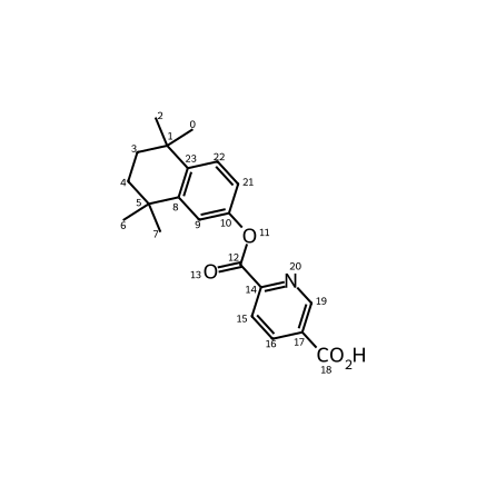 CC1(C)CCC(C)(C)c2cc(OC(=O)c3ccc(C(=O)O)cn3)ccc21